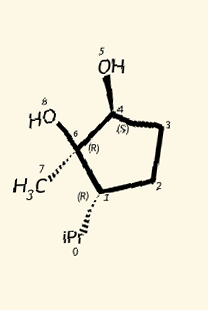 CC(C)[C@H]1CC[C@H](O)[C@]1(C)O